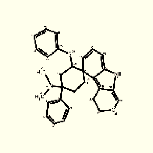 CN(C)C1(c2ccccc2)CCC2(C=CC=c3[nH]c4c(c32)CCOC=4)C(Sc2ccccc2)C1